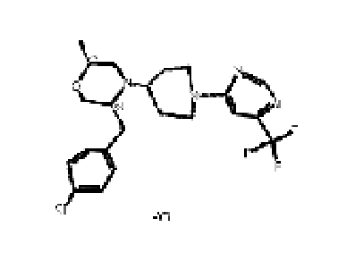 C[C@H]1CN(C2CCN(c3cc(C(F)(F)F)ncn3)CC2)[C@@H](Cc2ccc(Cl)cc2)CO1.Cl